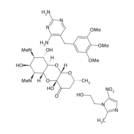 CN[C@@H]1[C@H](O)[C@H](NC)[C@H]2O[C@@]3(O)C(=O)C[C@@H](C)O[C@H]3O[C@@H]2[C@H]1O.COc1cc(Cc2cnc(N)nc2N)cc(OC)c1OC.Cc1ncc([N+](=O)[O-])n1CCO